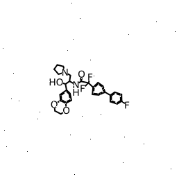 O=C(NC(CN1CCCC1)C(O)c1ccc2c(c1)OCCO2)C(F)(F)c1ccc(-c2ccc(F)cc2)cc1